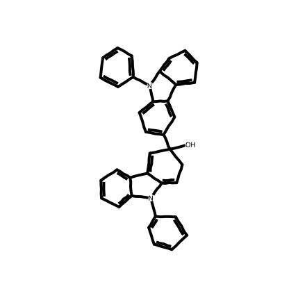 OC1(c2ccc3c(c2)c2ccccc2n3-c2ccccc2)C=c2c(n(-c3ccccc3)c3ccccc23)=CC1